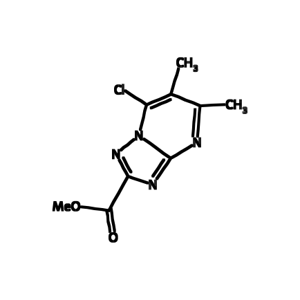 COC(=O)c1nc2nc(C)c(C)c(Cl)n2n1